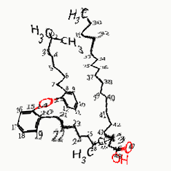 CC(C)CCCCCc1ccccc1Oc1ccccc1CCCCCC(C)C.CCCCCCCCCCCCCCCCCC(=O)O